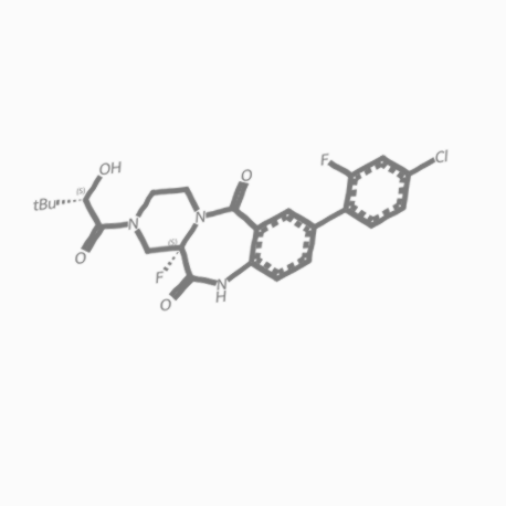 CC(C)(C)[C@H](O)C(=O)N1CCN2C(=O)c3cc(-c4ccc(Cl)cc4F)ccc3NC(=O)[C@@]2(F)C1